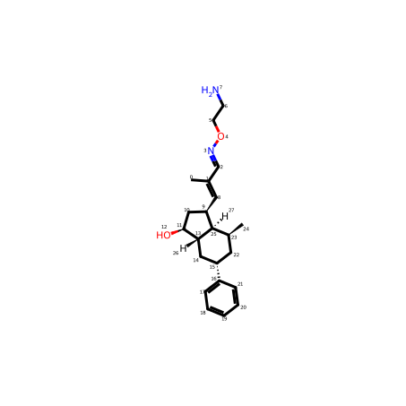 CC(/C=N/OCCN)=C\[C@@H]1C[C@H](O)[C@H]2C[C@@H](c3ccccc3)C[C@H](C)[C@@H]21